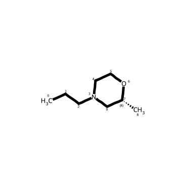 CCCN1CCO[C@H](C)C1